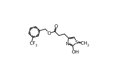 C=S1C=C(CCC(=O)OCc2cccc(C(F)(F)F)c2)N=C1O